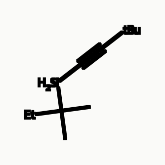 CCC(C)(C)[SiH2]C#CC(C)(C)C